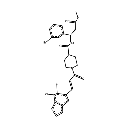 COC(=O)C[C@@H](NC(=O)C1CCN(C(=O)/C=C/c2cc3ccsc3c(Cl)c2Cl)CC1)c1cccc(Br)c1